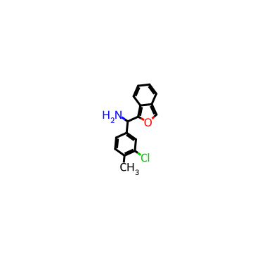 Cc1ccc(C(N)c2occ3ccccc23)cc1Cl